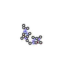 c1cc(-c2ccc3c(c2)c2cc4c5ccccc5n(-c5nc(-n6c7ccccc7c7c8ccccc8ccc76)nc6ccccc56)c4c4c5ccc6ccccc6c5n3c24)cc(-c2nc(-n3c4ccccc4c4cc5c6ccccc6n6c7c8ccccc8ccc7c(c43)c56)c3ccccc3n2)c1